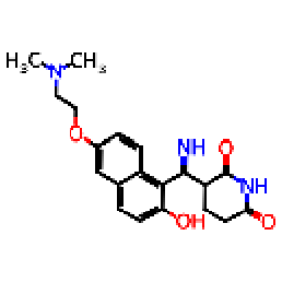 CN(C)CCOc1ccc2c(C(=N)C3CCC(=O)NC3=O)c(O)ccc2c1